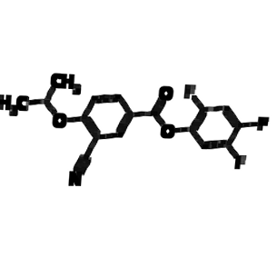 CC(C)Oc1ccc(C(=O)Oc2cc(F)c(F)cc2F)cc1C#N